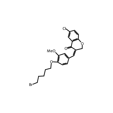 COc1cc(C=C2COc3ccc(Cl)cc3C2=O)ccc1OCCCCCBr